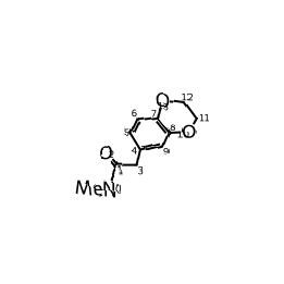 CNC(=O)Cc1ccc2c(c1)OCCO2